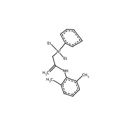 C=C(C[N+](CC)(CC)c1ccccc1)Nc1c(C)cccc1C